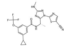 CNc1nc([C@H](C)NC(=O)c2cc(OC(F)(F)F)cc(C3CC3)c2)n(-c2ncc(C#N)s2)n1